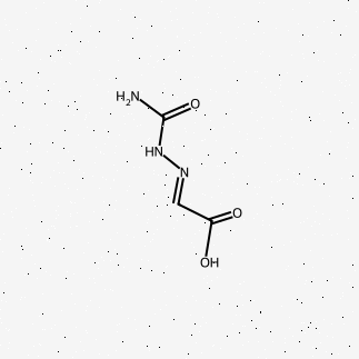 NC(=O)N/N=C/C(=O)O